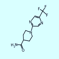 NC(=O)C1CCN(c2cnc(C(F)(F)F)cn2)CC1